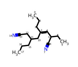 CCCC(=CC(C#N)CC)CC(CC#N)CCC